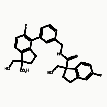 O=C(NCc1cccc(-c2c(F)ccc3c2CCC3(CO)C(=O)O)c1)C1(CO)CCc2cc(F)ccc21